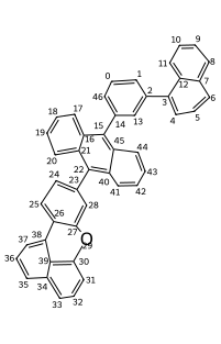 c1cc(-c2cccc3ccccc23)cc(-c2c3ccccc3c(-c3ccc4c(c3)Oc3cccc5cccc-4c35)c3ccccc23)c1